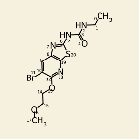 CCNC(=O)Nc1nc2cc(Br)c(OCCOC)nc2s1